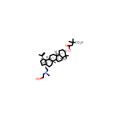 C=C(C)[C@@H]1CC[C@]2(CCN(C)CCO)CC[C@]3(C)[C@H](CC[C@@H]4[C@@]5(C)CC[C@H](OC(=O)CC(C)(C)C(=O)O)C(C)(C)[C@@H]5CC[C@]43C)[C@@H]12